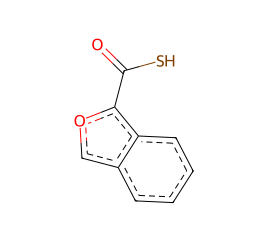 O=C(S)c1occ2ccccc12